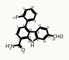 NC(=O)c1ccc(-c2ccccc2F)c2c1[nH]c1cc(C=O)ccc12